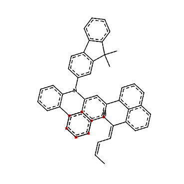 C=C/C(=C\C=C/C)c1cccc2cccc(-c3cc(N(c4ccc5c(c4)C(C)(C)c4ccccc4-5)c4ccccc4-c4ccccc4)c4ccccc4c3)c12